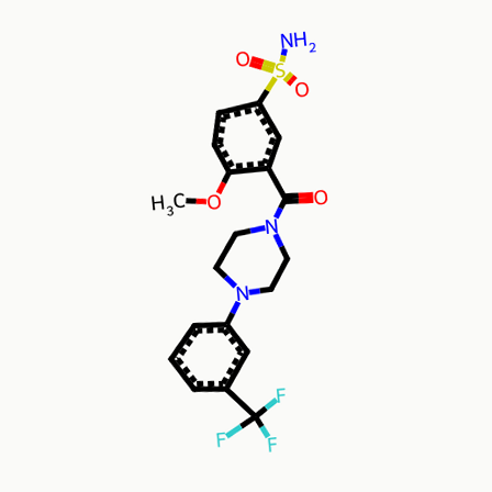 COc1ccc(S(N)(=O)=O)cc1C(=O)N1CCN(c2cccc(C(F)(F)F)c2)CC1